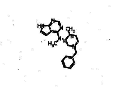 C[C@H]1CCN(Cc2ccccc2)C[C@@H]1N(C)c1ncnc2[nH]ccc12